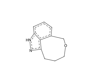 c1cc2c3c(n[nH]c3c1)CCCOC2